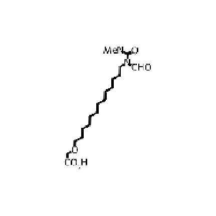 CNC(=O)N(C=O)CCCCC=CCCCCCCCOCC(=O)O